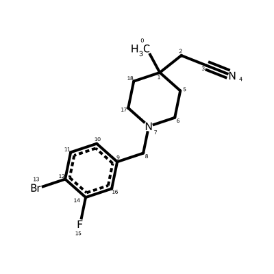 CC1(CC#N)CCN(Cc2ccc(Br)c(F)c2)CC1